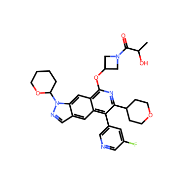 CC(O)C(=O)N1CC(Oc2nc(C3CCOCC3)c(-c3cncc(F)c3)c3cc4cnn(C5CCCCO5)c4cc23)C1